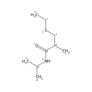 CCSCC(C)C(=O)NC(C)C